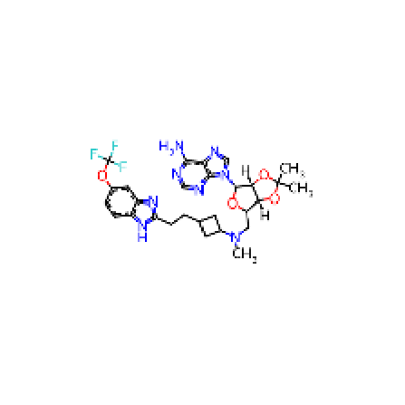 CN(C[C@H]1O[C@@H](n2cnc3c(N)ncnc32)[C@@H]2OC(C)(C)O[C@@H]21)C1CC(CCc2nc3cc(OC(F)(F)F)ccc3[nH]2)C1